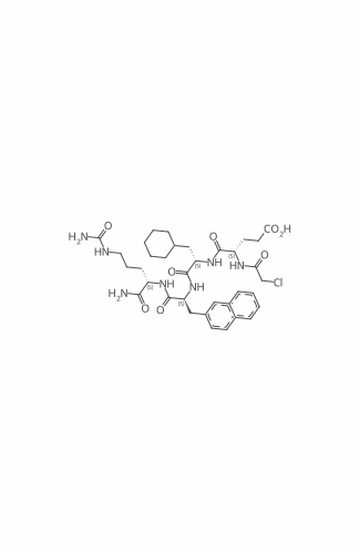 NC(=O)NCCC[C@H](NC(=O)[C@H](Cc1ccc2ccccc2c1)NC(=O)[C@H](CC1CCCCC1)NC(=O)[C@H](CCC(=O)O)NC(=O)CCl)C(N)=O